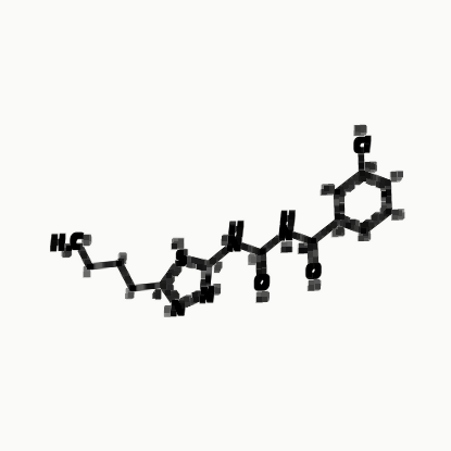 CCCCc1nnc(NC(=O)NC(=O)c2cccc(Cl)c2)s1